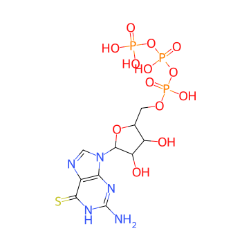 Nc1nc2c(ncn2C2OC(COP(=O)(O)OP(=O)(O)OP(=O)(O)O)C(O)C2O)c(=S)[nH]1